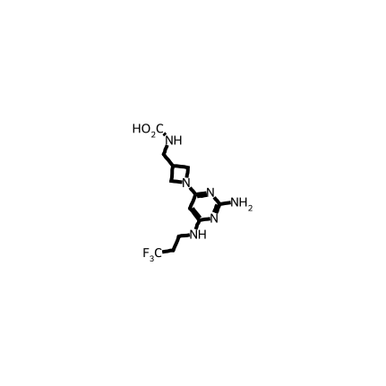 Nc1nc(NCCC(F)(F)F)cc(N2CC(CNC(=O)O)C2)n1